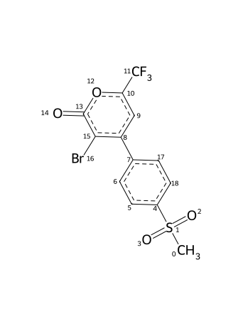 CS(=O)(=O)c1ccc(-c2cc(C(F)(F)F)oc(=O)c2Br)cc1